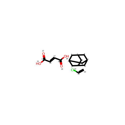 C1C2CC3CC1CC(C2)C3.C=CCl.O=C(O)C=CC(=O)O